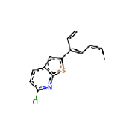 C=C/C(=C\C=C/C)c1cc2ccc(Cl)nc2s1